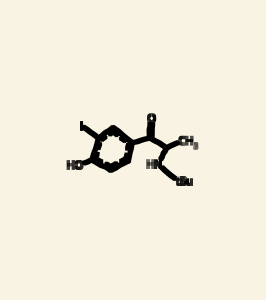 CC(NC(C)(C)C)C(=O)c1ccc(O)c(I)c1